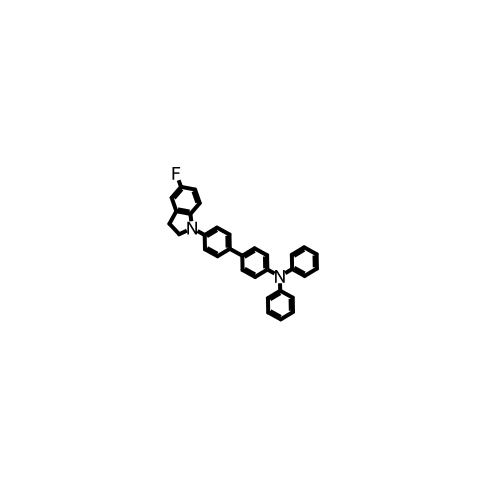 Fc1ccc2c(c1)CCN2c1ccc(-c2ccc(N(c3ccccc3)c3ccccc3)cc2)cc1